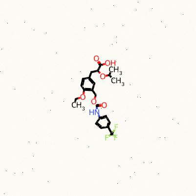 CCOc1ccc(CC(OC(C)C)C(=O)O)cc1COC(=O)Nc1ccc(C(F)(F)F)cc1